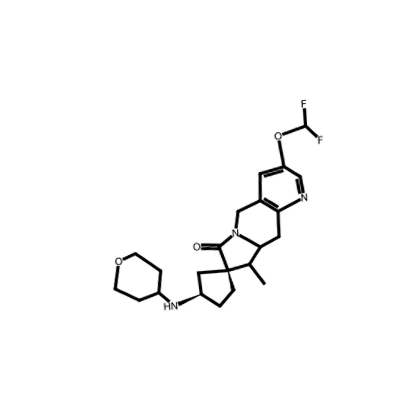 CC1C2Cc3ncc(OC(F)F)cc3CN2C(=O)[C@]12CC[C@@H](NC1CCOCC1)C2